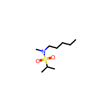 CCCCCN(C)S(=O)(=O)C(C)C